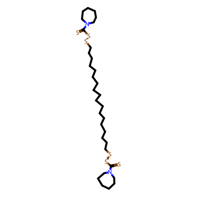 S=C(SSCCCCCCCCCCCCCCCCCCSSC(=S)N1CCCCCC1)N1CCCCCC1